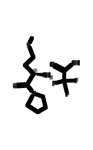 CSCC[C@H](N)C(=O)N1CCCC1.O=C(O)C(F)(F)F